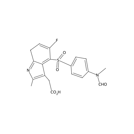 CC1=C(CC(=O)O)C2=C(S(=O)(=O)c3ccc(N(C)C=O)cc3)C(F)=CCC2=N1